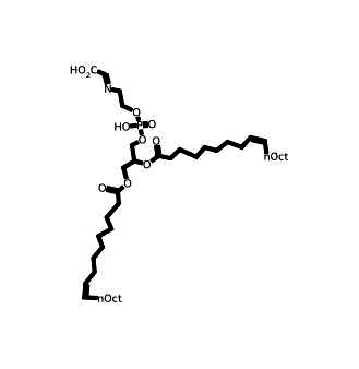 CCCCCCCC/C=C\CCCCCCCC(=O)OCC(COP(=O)(O)OCCN=CC(=O)O)OC(=O)CCCCCCC/C=C\CCCCCCCC